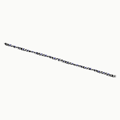 B=B\B=B/B=B\B=B/B=B\B=B/B=B\B=B/B=B\B=B/B=B\B=B/B=B\B=B/B=B\B=B/B=B\B=B/B=B\B=B/B=B\B=B/B=B\B=B/B=S